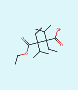 CCOC(=O)C(CC)(C(C)C)C(CC)(C(=O)O)C(C)C